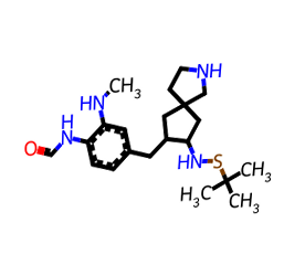 CNc1cc(CC2CC3(CCNC3)CC2NSC(C)(C)C)ccc1NC=O